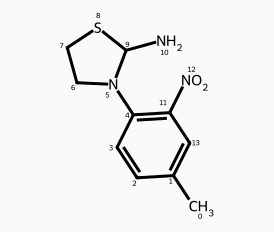 Cc1ccc(N2CCSC2N)c([N+](=O)[O-])c1